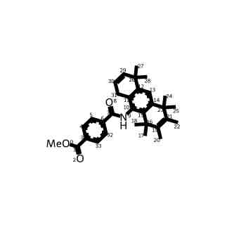 COC(=O)c1ccc(C(=O)Nc2c3c(cc4c2C(C)(C)C(C)=C(C)C4(C)C)C(C)(C)C=CC3)cc1